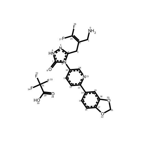 NCC(Cc1n[nH]c(=O)n1-c1ccc(-c2ccc3c(c2)OCO3)nc1)=C(F)F.O=C(O)C(F)(F)F